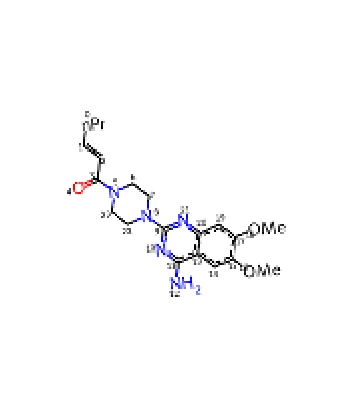 CCCC=CC(=O)N1CCN(c2nc(N)c3cc(OC)c(OC)cc3n2)CC1